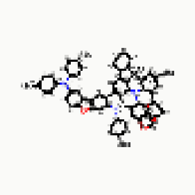 CC(C)(C)c1ccc(N2B3c4cc5occc5cc4N(c4ccc(C(C)(C)C)cc4-c4ccccc4)c4c3c(cc3c4C(C)(C)c4ccccc4-3)-c3cc4c(cc32)oc2ccc(N(c3ccc(C(C)(C)C)cc3)c3ccc(C(C)(C)C)cc3)cc24)cc1